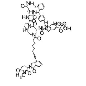 CN1C(=O)CC[C@@H](N2Cc3c(C#CCCCCCC(=O)N4CC[C@@H]5CC[C@H](C(=O)N[C@H](CCC(N)=O)C(=O)NC(c6ccccc6)c6ccccc6)N5C(=O)[C@H](NC(=O)c5cc6cc(C(=O)P(=O)(O)O)ccc6[nH]5)C4)cccc3C2=O)C1=O